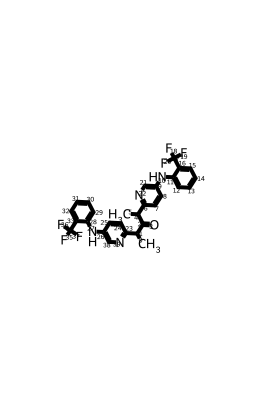 CC(C(=O)C(C)c1ccc(Nc2ccccc2C(F)(F)F)cn1)c1ccc(Nc2ccccc2C(F)(F)F)cn1